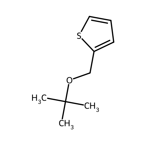 CC(C)(C)OCc1cccs1